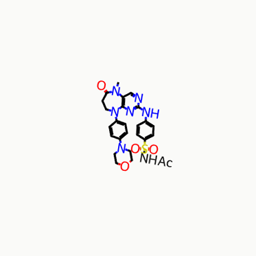 CC(=O)NS(=O)(=O)c1ccc(Nc2ncc3c(n2)N(c2ccc(N4CCOCC4)cc2)CCC(=O)N3C)cc1